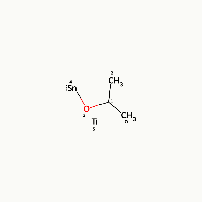 CC(C)[O][Sn].[Ti]